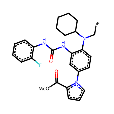 COC(=O)c1cccn1-c1ccc(N(CC(C)C)C2CCCCC2)c(NC(=O)Nc2ccccc2F)c1